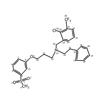 CS(=O)(=O)c1cccc(OCCCN(CCc2ccccc2)Cc2cccc(C(F)(F)F)c2Cl)c1